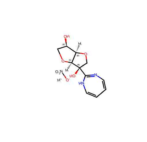 O=[N+]([O-])[O-].O[C@@H]1CO[C@H]2[C@@H]1OC[C@]2(O)C1=NC=CC=CN1.[H+]